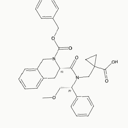 COC[C@@H](c1ccccc1)N(CC1(C(=O)O)CC1)C(=O)[C@@H]1Cc2ccccc2CN1C(=O)OCc1ccccc1